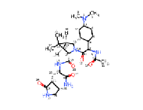 CN(C)C1CCC(C(NC(=O)C(F)(F)F)C(=O)N2C[C@H]3[C@@H]([C@H]2C(=O)N[C@@H](C[C@@H]2CCNC2=O)C(N)=O)C3(C)C)CC1